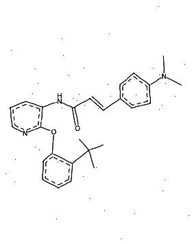 CN(C)c1ccc(C=CC(=O)Nc2cccnc2Oc2ccccc2C(C)(C)C)cc1